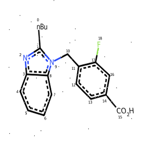 CCCCc1nc2ccccc2n1Cc1ccc(C(=O)O)cc1F